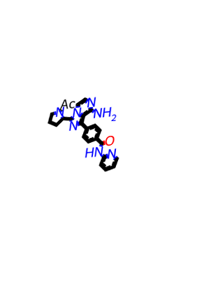 [CH2]C(=O)N1CCCC1c1nc(-c2ccc(C(=O)Nc3ccccn3)cc2)c2c(N)nccn12